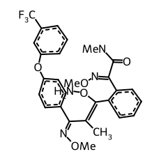 CNC(=O)/C(=N/OC)c1ccccc1/C(ON)=C(C)/C(=N\OC)c1ccc(Oc2cccc(C(F)(F)F)c2)cc1